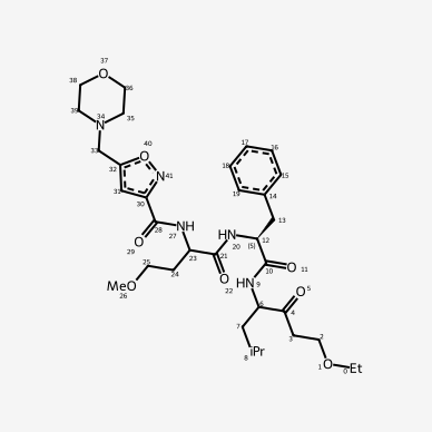 CCOCCC(=O)C(CC(C)C)NC(=O)[C@H](Cc1ccccc1)NC(=O)C(CCOC)NC(=O)c1cc(CN2CCOCC2)on1